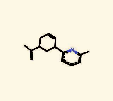 C=C(C)C1CC=CC(c2cccc(C)n2)C1